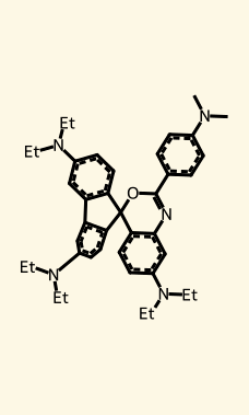 CCN(CC)c1ccc2c(c1)N=C(c1ccc(N(C)C)cc1)OC21c2ccc(N(CC)CC)cc2-c2cc(N(CC)CC)ccc21